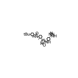 Cc1c(NC(=O)c2ccc(C(C)(C)C)cc2)cccc1-c1cn(C)c(=O)c(Nc2ccc(-c3nnn[nH]3)cc2)n1